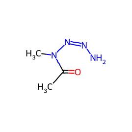 CC(=O)N(C)/N=N\N